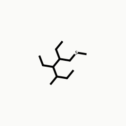 CCC(C)C(CC)C(CC)CSC